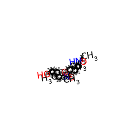 CCC(=O)Nc1ccc2c(c1)C1(C)CCCC(C(=O)N(C)C(=O)C3CCCC4(C)c5cc(O)ccc5CCC34)C1CC2